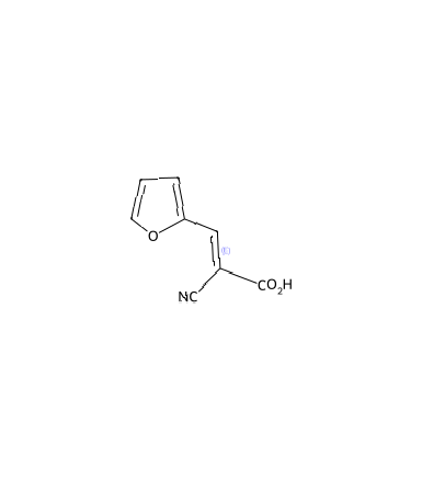 N#C/C(=C\c1ccco1)C(=O)O